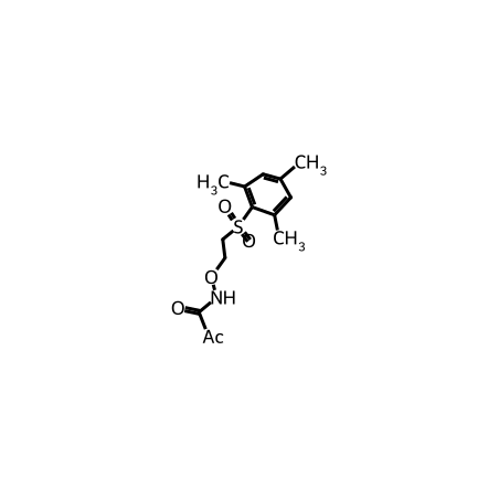 CC(=O)C(=O)NOCCS(=O)(=O)c1c(C)cc(C)cc1C